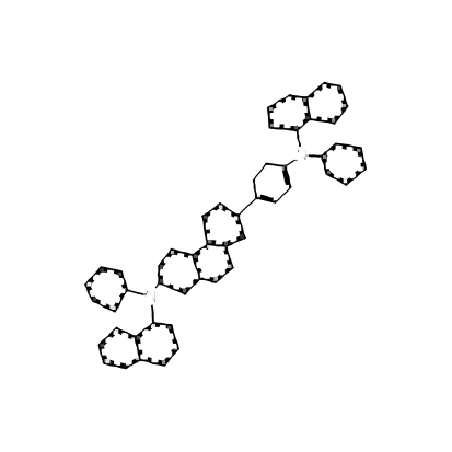 C1=C(c2ccc3c(ccc4cc(N(c5ccccc5)c5cccc6ccccc56)ccc43)c2)CCC(N(c2ccccc2)c2cccc3ccccc23)=C1